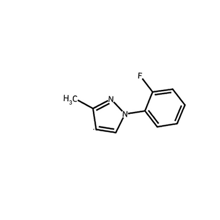 Cc1[c]cn(-c2ccccc2F)n1